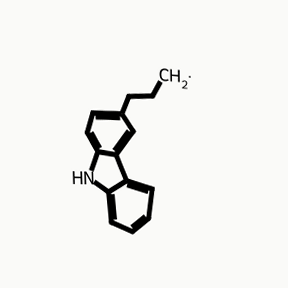 [CH2]CCc1ccc2[nH]c3ccccc3c2c1